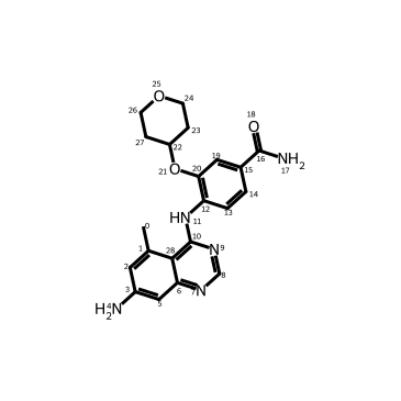 Cc1cc(N)cc2ncnc(Nc3ccc(C(N)=O)cc3OC3CCOCC3)c12